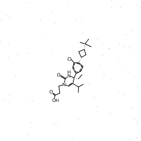 CC[C@@]1(c2ccc([C@H]3C[C@@H](C(C)(C)C)C3)c(Cl)c2)NC(=O)N(CCC(=O)O)C=C1C(C)C